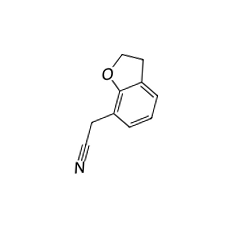 N#CCc1cccc2c1OCC2